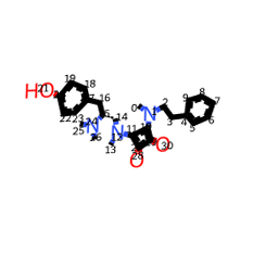 CN(CCc1ccccc1)c1c(N(C)C[C@@H](Cc2ccc(O)cc2)N(C)C)c(=O)c1=O